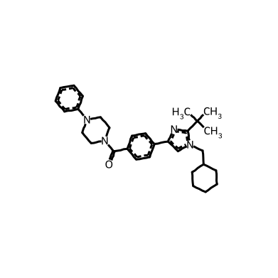 CC(C)(C)c1nc(-c2ccc(C(=O)N3CCN(c4ccccc4)CC3)cc2)cn1CC1CCCCC1